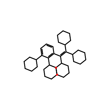 c1cc(C(=C(C2CCCCC2)C2CCCCC2)C2CCCCC2)c(C2CCCCC2)c(C2CCCCC2)c1